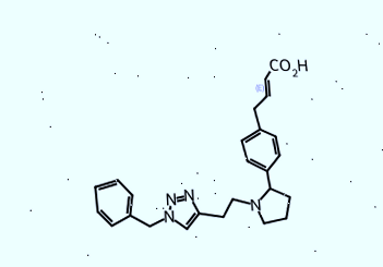 O=C(O)/C=C/Cc1ccc(C2CCCN2CCc2cn(Cc3ccccc3)nn2)cc1